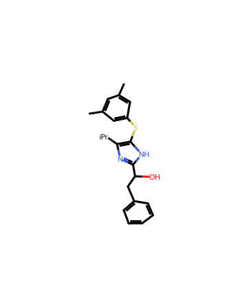 Cc1cc(C)cc(Sc2[nH]c(C(O)Cc3ccccc3)nc2C(C)C)c1